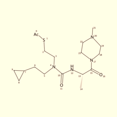 CC(=O)SCCN(CCC1CC1)C(=O)N[C@@H](C)C(=O)N1CCN(C)CC1